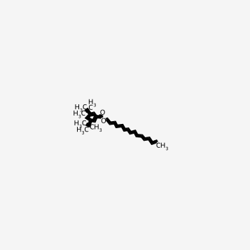 CCCCCCCCCCCCCCCCOC(=O)C1=CC(C(C)(C)C)CC(C(C)(C)C)=C1